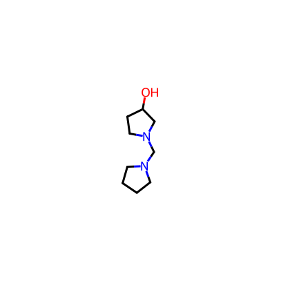 OC1CCN(CN2CCCC2)C1